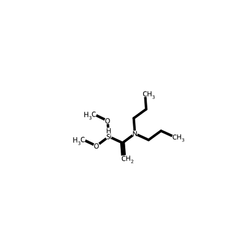 C=C(N(CCC)CCC)[SiH](OC)OC